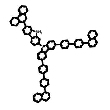 c1ccc2c(-c3ccc(-c4ccc(-c5ccc6c(c5)c5cc(-c7ccc(-c8ccc(-c9cccc%10ccccc9%10)cc8)cc7)ccc5n6-c5ccc6c(c5)[SiH2]c5cc(-c7cc8ccccc8c8ccccc78)ccc5-6)cc4)cc3)cccc2c1